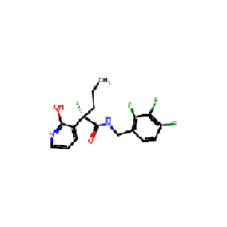 CCC[C@@](F)(C(=O)NCc1ccc(F)c(F)c1F)c1cccnc1O